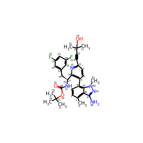 Cc1ccc(-c2ccc(C#CC(C)(C)O)nc2[C@H](Cc2cc(F)cc(F)c2)NC(=O)OC(C)(C)C)c2c1c(N)nn2C